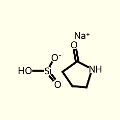 O=C1CCCN1.O=[Si]([O-])O.[Na+]